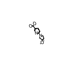 COC(=O)c1ccc(N2CC[C@H](OC)C2)nc1